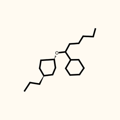 CCCCCC(O[C@H]1CC[C@H](CCC)CC1)C1CCCCC1